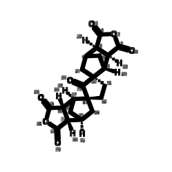 O=C1OC(=O)[C@@H]2C3C[C@H]([C@H]12)[C@]1(CC[C@]2(C[C@@H]4C[C@H]2[C@H]2C(=O)OC(=O)[C@@H]42)C1=O)C3